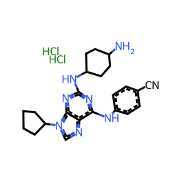 Cl.Cl.N#Cc1ccc(Nc2nc(NC3CCC(N)CC3)nc3c2ncn3C2CCCC2)cc1